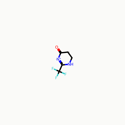 O=C1[C]CNC(C(F)(F)F)=[N+]1